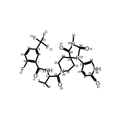 CC(C)[C@@H](NC(=O)c1cc(C(F)(F)F)ccc1F)C(=O)N1CCC2(CC1)C(=O)N(C)C(=O)N2c1ccc(=O)[nH]c1